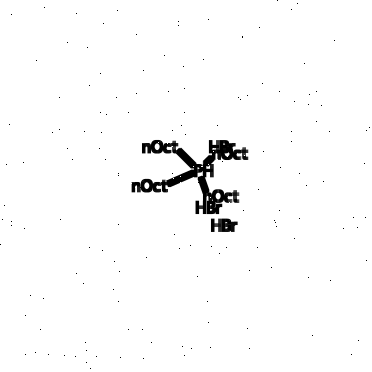 Br.Br.Br.CCCCCCCC[PH](CCCCCCCC)(CCCCCCCC)CCCCCCCC